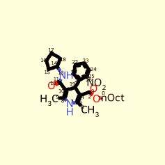 CCCCCCCCOC(=O)C1=C(C)NC(C)=C(C(=O)NC2CCCC2)C1c1ccccc1[N+](=O)[O-]